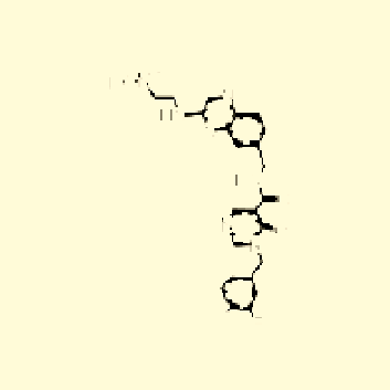 CN(C)CCNc1cnc2ccc(CNC(=O)c3cncn(Cc4ccc(F)c(F)c4)c3=O)cc2n1